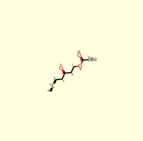 C=C=CCC(=O)CCOC(=O)CCCC